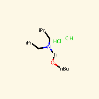 CCCC[O][Ti][N](CC(C)C)CC(C)C.Cl.Cl